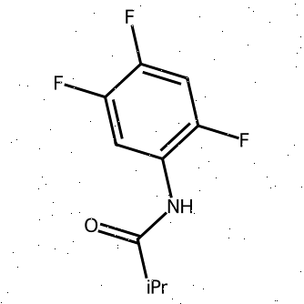 CC(C)C(=O)Nc1cc(F)c(F)cc1F